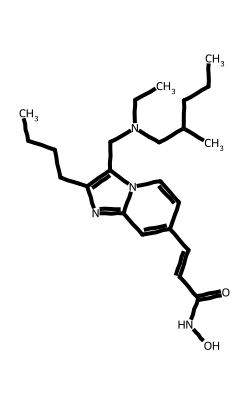 CCCCc1nc2cc(C=CC(=O)NO)ccn2c1CN(CC)CC(C)CCC